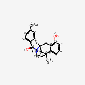 COc1ccc(C(=O)N2CCC3(C)c4cccc(O)c4C[C@@H]2C3(C)C)cc1